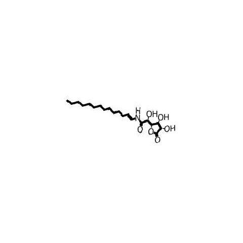 CCCCCCCCCCCCC=CNC(=O)[C@H](O)[C@H]1OC(=O)[C@@H](O)[C@H]1O